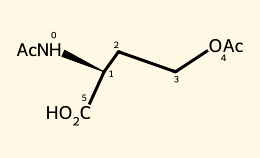 CC(=O)N[C@@H](CCOC(C)=O)C(=O)O